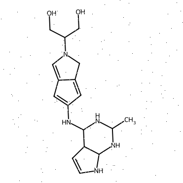 CC1NC2NC=CC2C(NC2=CC3=CN(C(CO)CO)CC3=C2)N1